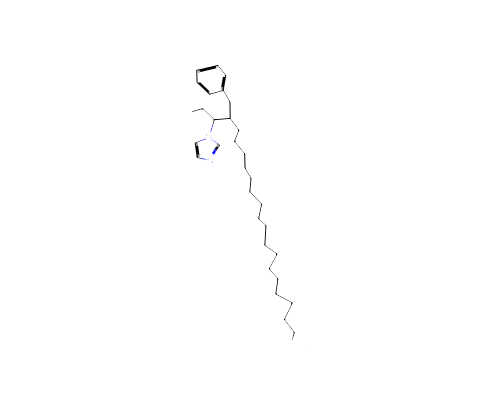 CCCCCCCCCCCCCCCCCCC(Cc1ccccc1)C(CC)n1ccnc1